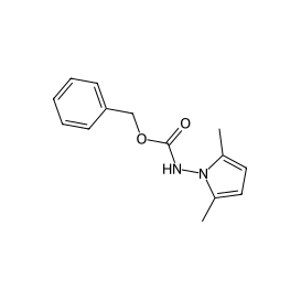 Cc1ccc(C)n1NC(=O)OCc1ccccc1